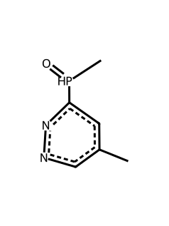 Cc1cnnc([PH](C)=O)c1